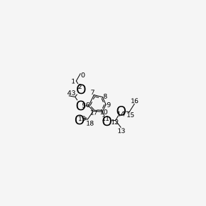 CCOC(C)Oc1cccc(OC(C)OCC)c1C=O